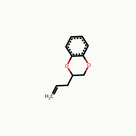 C=C[CH]C1COc2ccccc2O1